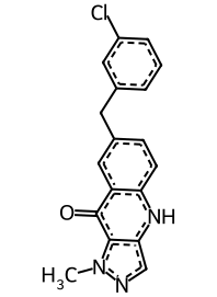 Cn1ncc2[nH]c3ccc(Cc4cccc(Cl)c4)cc3c(=O)c21